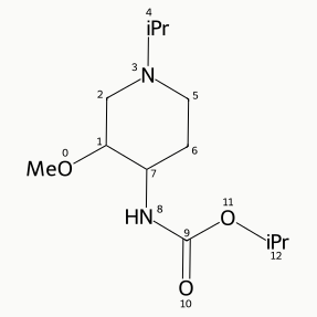 COC1CN(C(C)C)CCC1NC(=O)OC(C)C